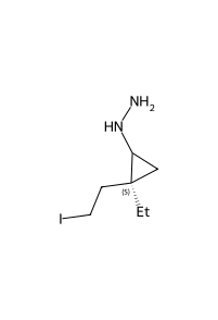 CC[C@@]1(CCI)CC1NN